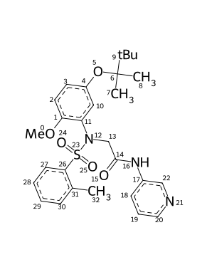 COc1ccc(OC(C)(C)C(C)(C)C)cc1N(CC(=O)Nc1cccnc1)S(=O)(=O)c1ccccc1C